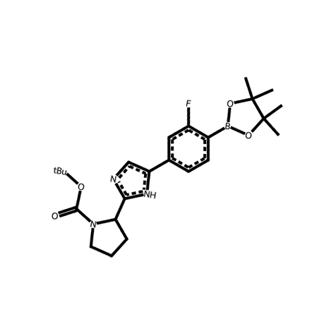 CC(C)(C)OC(=O)N1CCCC1c1ncc(-c2ccc(B3OC(C)(C)C(C)(C)O3)c(F)c2)[nH]1